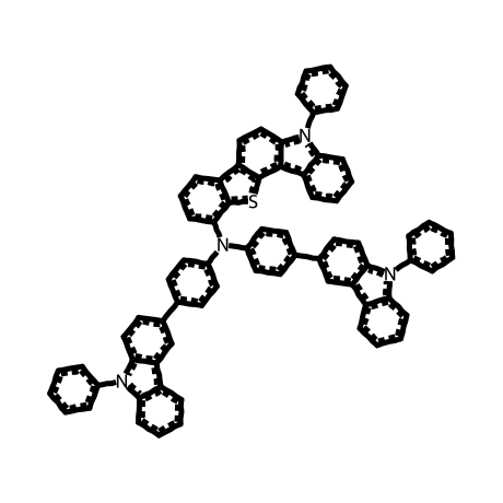 c1ccc(-n2c3ccccc3c3cc(-c4ccc(N(c5ccc(-c6ccc7c(c6)c6ccccc6n7-c6ccccc6)cc5)c5cccc6c5sc5c6ccc6c5c5ccccc5n6-c5ccccc5)cc4)ccc32)cc1